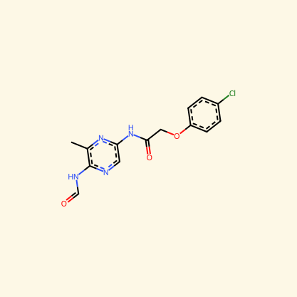 Cc1nc(NC(=O)COc2ccc(Cl)cc2)cnc1NC=O